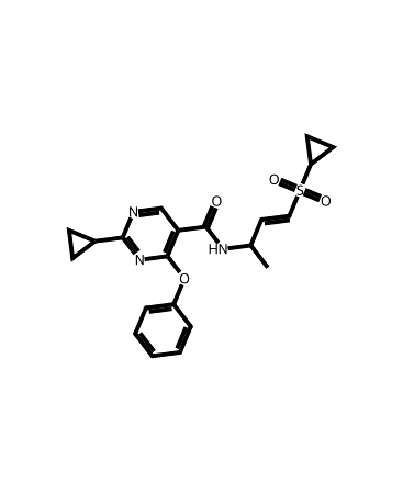 CC(C=CS(=O)(=O)C1CC1)NC(=O)c1cnc(C2CC2)nc1Oc1ccccc1